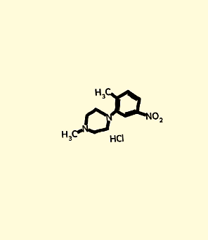 Cc1ccc([N+](=O)[O-])cc1N1CCN(C)CC1.Cl